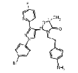 C[C@H]1O[C@H](c2cn(-c3ccc(Br)cc3)nc2-c2ccc(F)cn2)N(CCc2ccc(N)cc2)C1=O